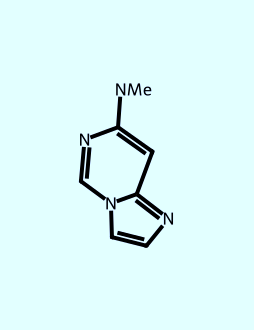 CNc1cc2nccn2cn1